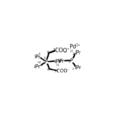 CC(C)P(C(C)C)C(C)C.CC(C)P(CC(=O)[O-])(CC(=O)[O-])(C(C)C)C(C)C.[Pd+2]